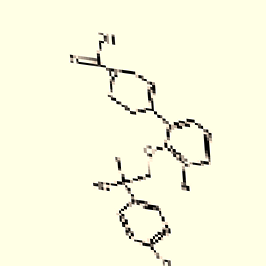 CC(O)(COc1c(Br)cccc1C1=CCN(C(=O)O)CC1)c1ccc(Cl)cc1